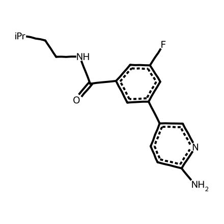 CC(C)CCNC(=O)c1cc(F)cc(-c2ccc(N)nc2)c1